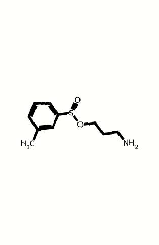 Cc1cccc(S(=O)OCCCN)c1